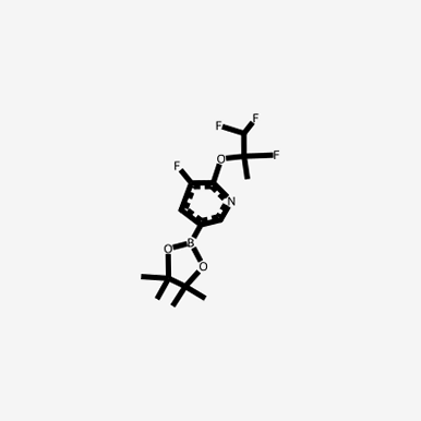 CC(F)(Oc1ncc(B2OC(C)(C)C(C)(C)O2)cc1F)C(F)F